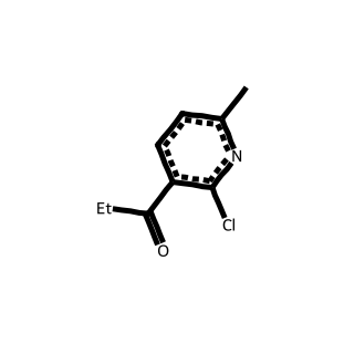 CCC(=O)c1ccc(C)nc1Cl